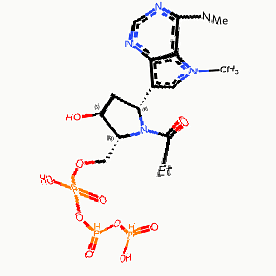 CCC(=O)N1[C@@H](c2cn(C)c3c(NC)ncnc23)C[C@H](O)[C@H]1COP(=O)(O)O[PH](=O)O[PH](=O)O